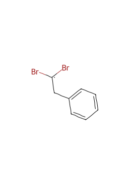 Br[C](Br)Cc1ccccc1